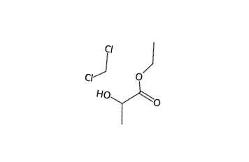 CCOC(=O)C(C)O.ClCCl